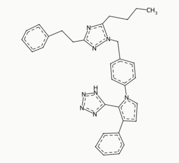 CCCCc1nc(CCc2ccccc2)nn1Cc1ccc(-n2ccc(-c3ccccc3)c2-c2nnn[nH]2)cc1